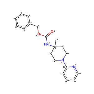 CC1(NC(=O)OCc2ccccc2)CCN(c2ccccn2)CC1